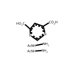 CC(=O)NN.CC(=O)NN.O=C(O)c1cc(C(=O)O)ncn1